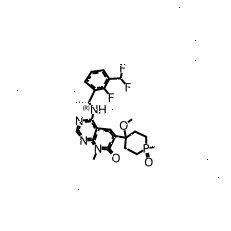 COC1(c2cc3c(N[C@H](C)c4cccc(C(F)F)c4F)ncnc3n(C)c2=O)CCP(C)(=O)CC1